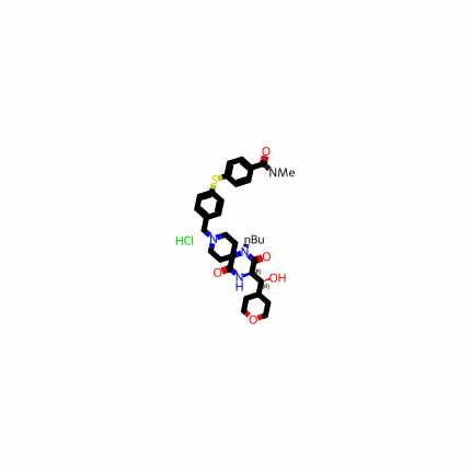 CCCCN1C(=O)[C@@H]([C@H](O)C2CCOCC2)NC(=O)C12CCN(Cc1ccc(Sc3ccc(C(=O)NC)cc3)cc1)CC2.Cl